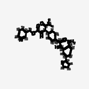 CN(C)C(=O)C(NC(=O)OCc1cccnc1)c1ccc(C(=O)Nc2cc(-c3cccs3)ccc2N)cc1